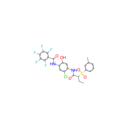 CCC(C(=O)Nc1cc(O)c(NC(=O)c2c(F)c(F)c(F)c(F)c2F)cc1Cl)S(=O)(=O)c1cccc(C)c1